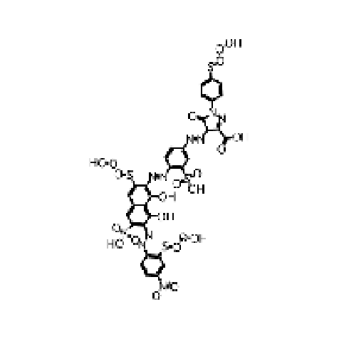 O=C(O)C1=NN(c2ccc(SOOO)cc2)C(=O)C1N=Nc1ccc(N=Nc2c(SOOO)cc3cc(S(=O)(=O)O)c(N=Nc4ccc([N+](=O)[O-])cc4SOOO)c(O)c3c2O)c(S(=O)(=O)O)c1